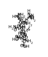 CSCC[C@@H](NC(=O)[C@@H](CCC(N)=O)NC(=O)[C@H](CCCNC(=N)N)NC(=O)[C@@H](N)CCCNC(=N)N)C(=O)N[C@@H](CCC(=O)O)C(=O)N[C@@H](CCC(=O)O)C(N)=O